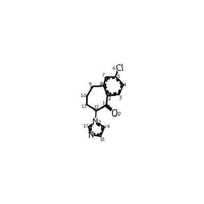 O=C1c2ccc(Cl)cc2CCCC1n1ccnc1